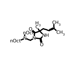 CCCCCCCCN(CCCCCCCC)CN1C(=O)NC(C)(CC=C(C)C)C1=O